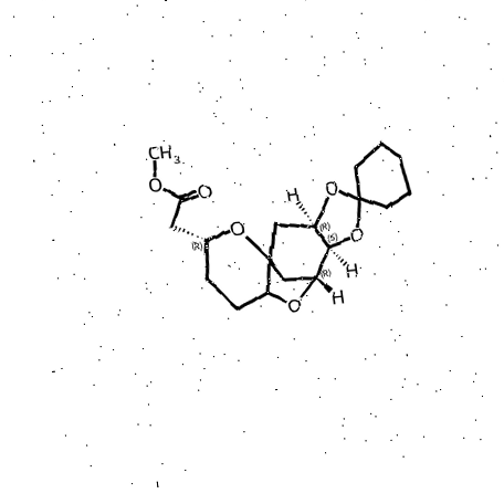 COC(=O)C[C@H]1CCC2O[C@@H]3CC2(C[C@H]2OC4(CCCCC4)O[C@@H]32)O1